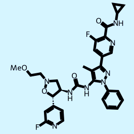 COCCN1C[C@@H](NC(=O)Nc2c(C)c(-c3cnc(C(=O)NC4CC4)c(F)c3)nn2-c2ccccc2)[C@H](c2ccnc(F)c2)O1